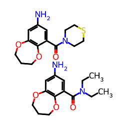 CCN(CC)C(=O)c1cc(N)cc2c1OCCCO2.Nc1cc2c(c(C(=O)N3CCSCC3)c1)OCCCO2